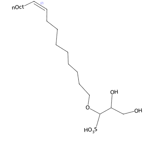 CCCCCCCC/C=C\CCCCCCCCOC(C(O)CO)S(=O)(=O)O